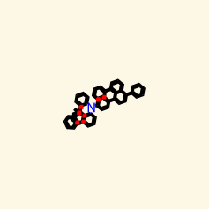 CC1(C)c2ccccc2-c2cccc(N(c3ccc(-c4ccc(-c5ccccc5)c5cccc(-c6ccccc6)c45)cc3)c3ccccc3-c3ccccc3)c21